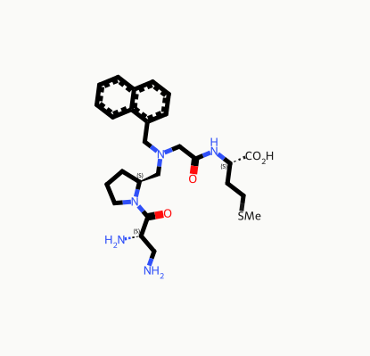 CSCC[C@H](NC(=O)CN(Cc1cccc2ccccc12)C[C@@H]1CCCN1C(=O)[C@@H](N)CN)C(=O)O